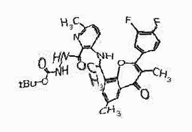 Cc1cc([C@@H](C)Nc2ccc(C)nc2C(=O)NNC(=O)OC(C)(C)C)c2oc(-c3ccc(F)c(F)c3)c(C)c(=O)c2c1